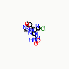 CC1CCC([C@@H](C)n2c(N3CC(=O)N(C)C[C@H]3C)nc3cc(-c4noc(=O)[nH]4)nc(-c4cncc(Cl)c4)c32)CC1